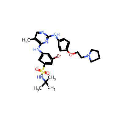 Cc1cnc(Nc2ccc(OCCN3CCCC3)cc2)nc1Nc1cc(Br)cc(S(=O)(=O)NC(C)(C)C)c1